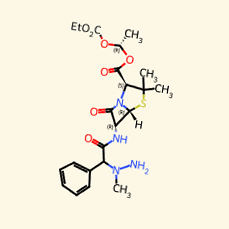 CCOC(=O)O[C@H](C)OC(=O)[C@@H]1N2C(=O)[C@@H](NC(=O)C(c3ccccc3)N(C)N)[C@H]2SC1(C)C